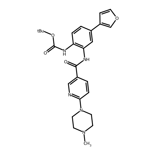 CN1CCN(c2ccc(C(=O)Nc3cc(-c4ccoc4)ccc3NC(=O)OC(C)(C)C)cn2)CC1